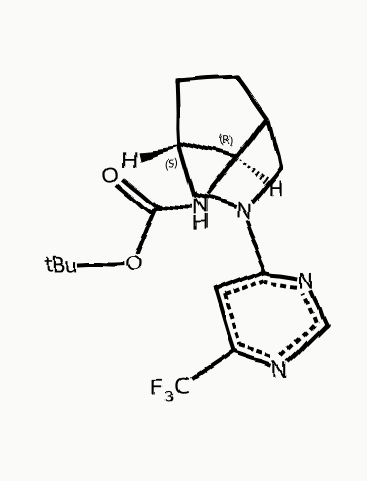 CC(C)(C)OC(=O)N[C@@H]1C2CC[C@H]1CN(c1cc(C(F)(F)F)ncn1)C2